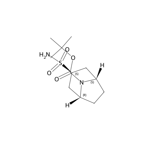 CC(C)(C)OC(=O)N1[C@@H]2CC[C@H]1C[C@H](S(N)(=O)=O)C2